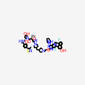 C#Cc1c(F)ccc2cc(O)cc(-c3ncc4c(N5CC6CCC(C5)N6)nc(OCCN5CCC(CC6CCN(c7cc([C@H](C(=O)N8C[C@H](O)C[C@H]8C(=O)N[C@@H](C)c8ccc(-c9scnc9C)cc8)C(C)C)on7)CC6)CC5)nc4c3F)c12